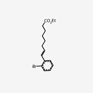 CCOC(=O)CCCCC/C=C/c1ccccc1Br